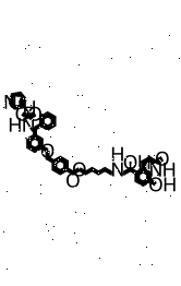 O=C(NC(c1ccccc1)c1cccc(OCc2ccc(C(=O)OCCCCCNC[C@@H](O)c3ccc(O)c4[nH]c(=O)ccc34)cc2)c1)O[C@H]1CN2CCC1CC2